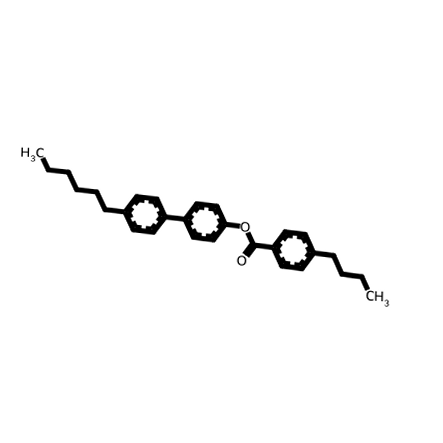 CCCCCCc1ccc(-c2ccc(OC(=O)c3ccc(CCCC)cc3)cc2)cc1